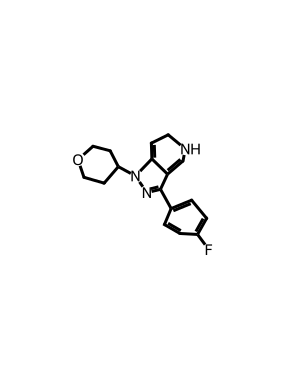 Fc1ccc(-c2nn(C3CCOCC3)c3c2=CNCC=3)cc1